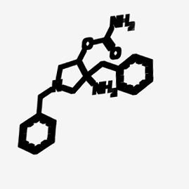 NC(=O)OC1CN(Cc2ccccc2)CC1(N)Cc1ccccc1